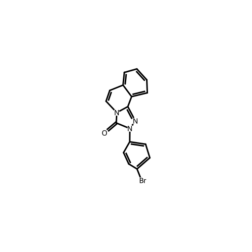 O=c1n(-c2ccc(Br)cc2)nc2c3ccccc3ccn12